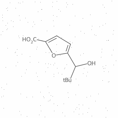 CC(C)(C)C(O)c1ccc(C(=O)O)o1